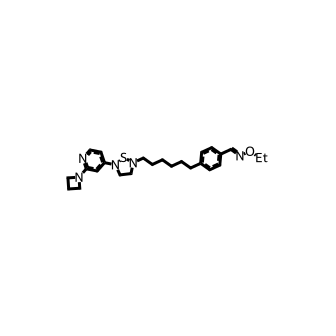 CCO/N=C/c1ccc(CCCCCCN2CCN(c3ccnc(N4CCC4)c3)S2)cc1